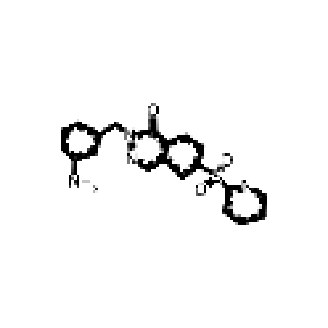 Nc1cccc(Cn2ncc3cc(S(=O)(=O)c4ccccn4)ccc3c2=O)c1